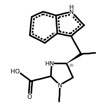 CC(c1c[nH]c2ccccc12)[C@H]1CN(C)C(C(=O)O)N1